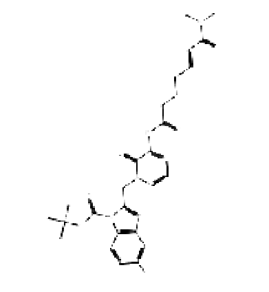 CN(C)C(=O)/C=C/CCCC(=O)Nc1nccn(Cc2cc3cc(F)ccc3n2C(=O)OC(C)(C)C)c1=O